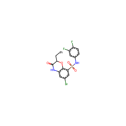 CC(C)CC1Oc2c(cc(Br)cc2S(=O)(=O)Nc2ccc(F)c(F)c2)NC1=O